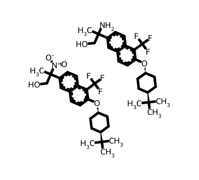 CC(CO)(c1ccc2c(C(F)(F)F)c(O[C@H]3CC[C@H](C(C)(C)C)CC3)ccc2c1)[N+](=O)[O-].CC(N)(CO)c1ccc2c(C(F)(F)F)c(O[C@H]3CC[C@H](C(C)(C)C)CC3)ccc2c1